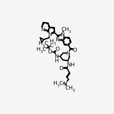 CN(C)C/C=C/C(=O)N[C@H]1C[C@@H](NC(=O)OC(C)(C)C)CN(C(=O)c2ccc3c(c2)nc(-c2cc4cccnc4n2CC2CC2)n3C)C1